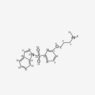 CN(C)CCCOc1cccc(S(=O)(=O)n2ccc3ccccc32)c1